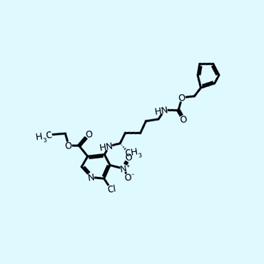 CCOC(=O)c1cnc(Cl)c([N+](=O)[O-])c1N[C@@H](C)CCCCNC(=O)OCc1ccccc1